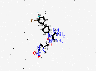 Cn1c(C(C)(C)ON2ON(c3ccc(-c4ccc(F)c(Br)c4)cc3)C(C(=N)N)=C2N)cnc1[N+](=O)[O-]